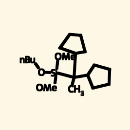 CCCCO[Si](OC)(OC)C(C)(C1CCCC1)C1CCCC1